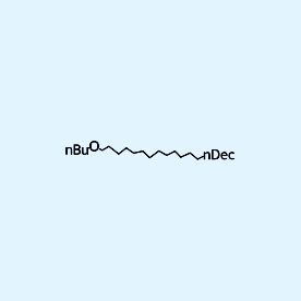 [CH2]CCCCCCCCCCCCCCCCCCCCCCOCCCC